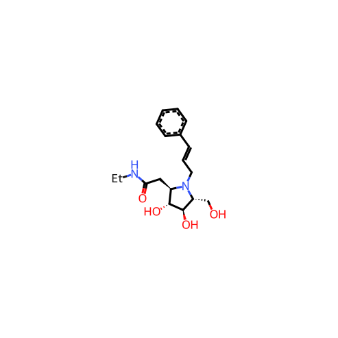 CCNC(=O)C[C@@H]1[C@@H](O)[C@H](O)[C@@H](CO)N1CC=Cc1ccccc1